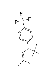 CC(C)=CC(c1ccc(C(F)(F)F)cc1)C(C)(C)C